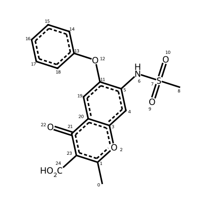 Cc1oc2cc(NS(C)(=O)=O)c(Oc3ccccc3)cc2c(=O)c1C(=O)O